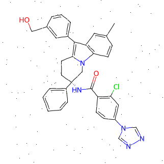 Cc1ccc2c(c1)c(-c1cccc(CO)c1)c1n2C[C@@](NC(=O)c2ccc(-n3cnnc3)cc2Cl)(c2ccccc2)CC1